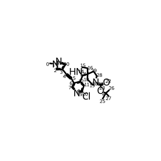 Cn1cc(C#Cc2cnc(Cl)cc2C2NCCC23CCN(C(=O)OC(C)(C)C)CC3)cn1